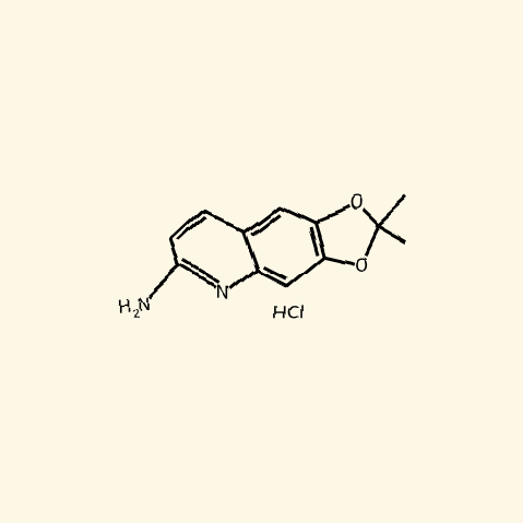 CC1(C)Oc2cc3ccc(N)nc3cc2O1.Cl